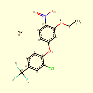 CCOc1cc(Oc2ccc(C(F)(F)F)cc2Cl)ccc1[N+](=O)[O-].[Na+]